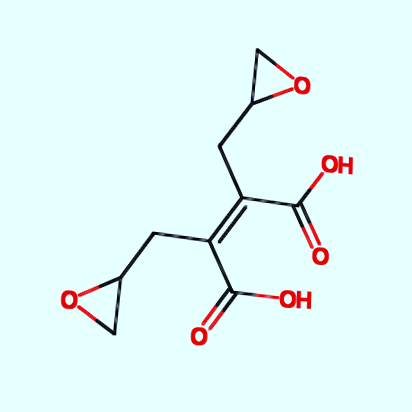 O=C(O)/C(CC1CO1)=C(/CC1CO1)C(=O)O